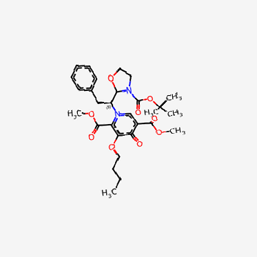 CCCCOc1c(C(=O)OC)n([C@@H](Cc2ccccc2)C2OCCN2C(=O)OC(C)(C)C)cc(C(=O)OC)c1=O